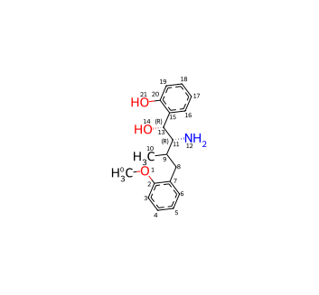 COc1ccccc1CC(C)[C@@H](N)[C@H](O)c1ccccc1O